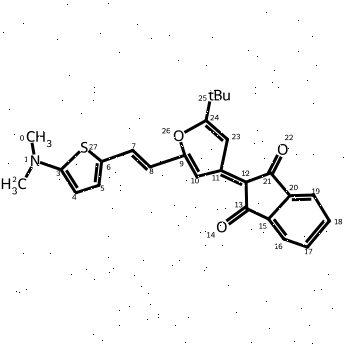 CN(C)c1ccc(C=CC2=CC(=C3C(=O)c4ccccc4C3=O)C=C(C(C)(C)C)O2)s1